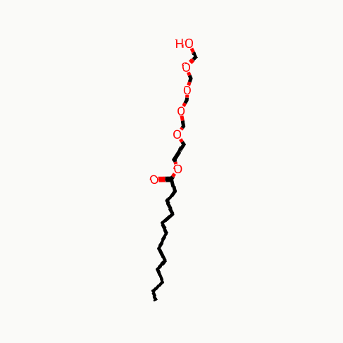 CCCCCCCCCCCC(=O)OCCOCOCOCOCO